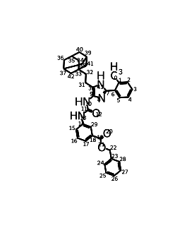 Cc1ccccc1-c1nc(NC(=O)Nc2cccc(C(=O)OCc3ccccc3)c2)c(CCC23CC4CC(CC(C4)C2)C3)[nH]1